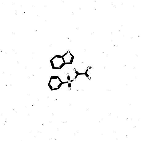 O=C(O)C(=O)OS(=O)(=O)c1ccccc1.c1ccc2occc2c1